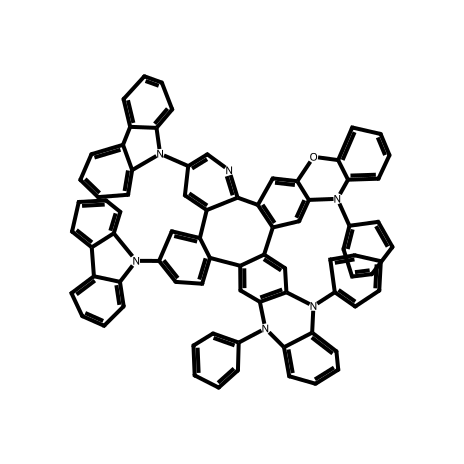 c1ccc(-n2c3ccccc3oc3cc4c(cc32)c2cc3c(cc2c2ccc(-n5c6ccccc6c6ccccc65)cc2c2cc(-n5c6ccccc6c6ccccc65)cnc24)n(-c2ccccc2)c2ccccc2n3-c2ccccc2)cc1